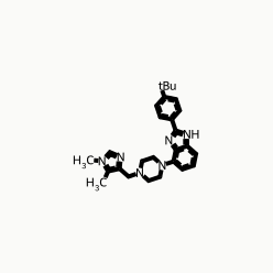 Cc1c(CN2CCN(c3cccc4[nH]c(-c5ccc(C(C)(C)C)cc5)nc34)CC2)ncn1C